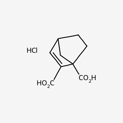 Cl.O=C(O)C1=CC2CCC1(C(=O)O)C2